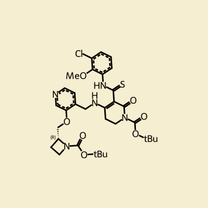 COc1c(Cl)cccc1NC(=S)C1=C(NCc2ccncc2OC[C@H]2CCN2C(=O)OC(C)(C)C)CCN(C(=O)OC(C)(C)C)C1=O